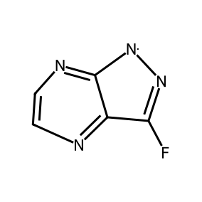 FC1=N[N]c2nccnc21